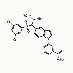 CNC(=O)c1ccnc(-n2ccc3cc(N(C(C(=O)O)C(C)(C)C)S(=O)(=O)c4cc(Cl)nc(Cl)c4)ccc32)c1